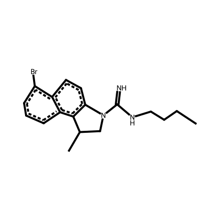 CCCCNC(=N)N1CC(C)c2c1ccc1c(Br)cccc21